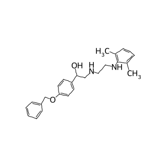 Cc1cccc(C)c1NCCNCC(O)c1ccc(OCc2ccccc2)cc1